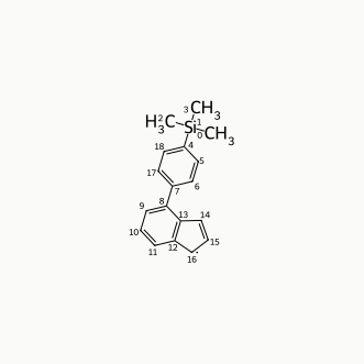 C[Si](C)(C)c1ccc(-c2cccc3c2C=C[CH]3)cc1